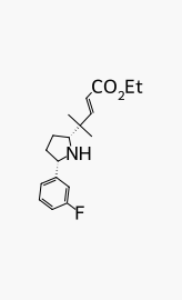 CCOC(=O)/C=C/C(C)(C)[C@H]1CC[C@@H](c2cccc(F)c2)N1